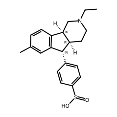 CCN1CC[C@H]2[C@H](c3ccc(S(=O)O)cc3)c3cc(C)ccc3[C@H]2C1